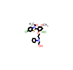 COc1ccc(OCCCN(CCO)C2CCCCC2)c(C2Sc3cc(Cl)ccc3N2C(C)=O)c1.Cl